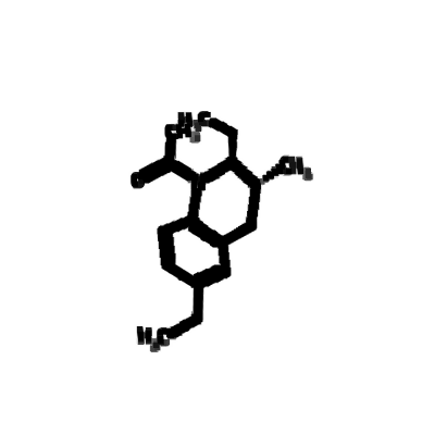 CCc1ccc2c(c1)C[C@@H](C)[C@H](CC)N2C(C)=O